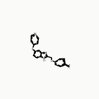 Fc1ccc(OCc2nc3cc(Sc4ccncc4)ccc3[nH]2)cc1